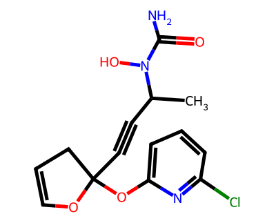 CC(C#CC1(Oc2cccc(Cl)n2)CC=CO1)N(O)C(N)=O